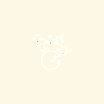 COC[C@H](NC(=O)c1cnc(C)s1)C(=O)N[C@@H](COC)C(=O)N[C@@H](Cc1ccccc1)C(=O)[C@]1(C)OC12CCCCCCCCCCCCCCC2